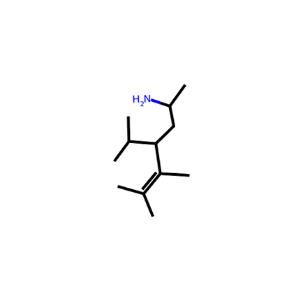 CC(C)=C(C)C(CC(C)N)C(C)C